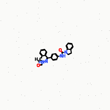 Cc1ccccc1/C(=N\NC=O)c1ccc(NC(=O)N2CCc3ccccc32)cc1